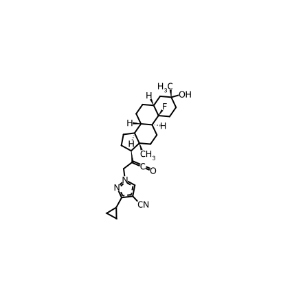 C[C@@]1(O)CC[C@@]2(F)[C@H](CC[C@H]3[C@@H]4CC[C@H](C(=C=O)Cn5cc(C#N)c(C6CC6)n5)[C@@]4(C)CC[C@@H]32)C1